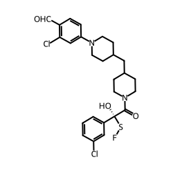 O=Cc1ccc(N2CCC(CC3CCN(C(=O)[C@@](O)(SF)c4cccc(Cl)c4)CC3)CC2)cc1Cl